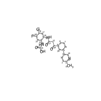 Cc1ccc(-c2cccc(C(=O)CC(=O)Nc3cc(Cl)c(F)cc3NC(=O)O)c2)cn1